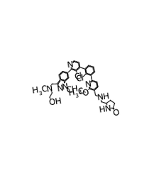 COc1nc(-c2cccc(-c3ccnc(-c4ccc5c(CN(C)CCO)nn(C)c5c4)c3Cl)c2Cl)ccc1CNCC1CCC(=O)N1